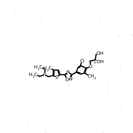 CCN(CC)Cc1sc(-c2nc(-c3cc(C)c(OC[C@@H](O)CO)c(Cl)c3)no2)cc1C